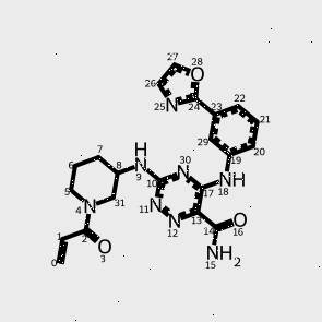 C=CC(=O)N1CCCC(Nc2nnc(C(N)=O)c(Nc3cccc(-c4ncco4)c3)n2)C1